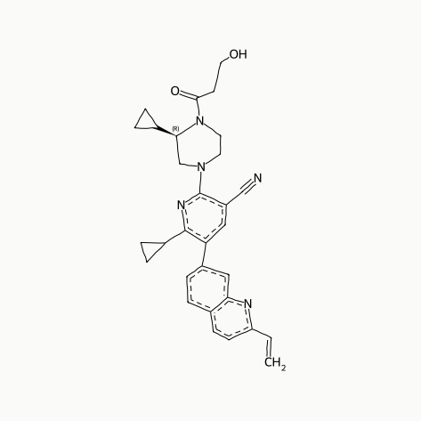 C=Cc1ccc2ccc(-c3cc(C#N)c(N4CCN(C(=O)CCO)[C@H](C5CC5)C4)nc3C3CC3)cc2n1